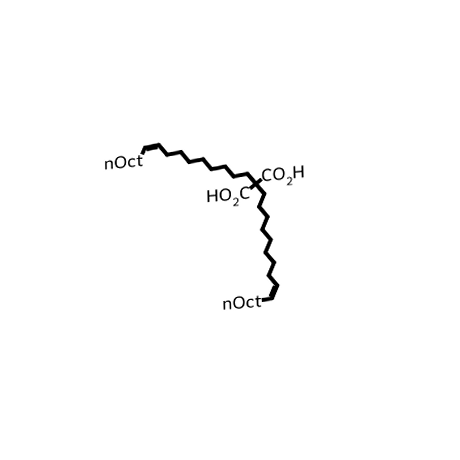 CCCCCCCC/C=C\CCCCCCCCC(CCCCCCCC/C=C\CCCCCCCC)(C(=O)O)C(=O)O